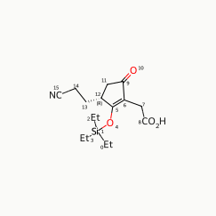 CC[Si](CC)(CC)OC1=C(CC(=O)O)C(=O)C[C@H]1CCC#N